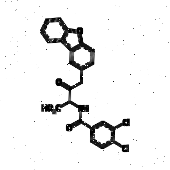 O=C(NC(C(=O)O)C(=O)Cc1ccc2oc3ccccc3c2c1)c1ccc(Cl)c(Cl)c1